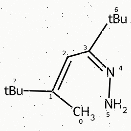 CC(=CC(=NN)C(C)(C)C)C(C)(C)C